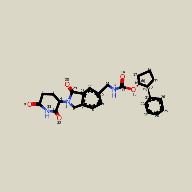 O=C1CCC(N2Cc3ccc(CNC(=O)O[C@@H]4CCC[C@H]4c4ccccc4)cc3C2=O)C(=O)N1